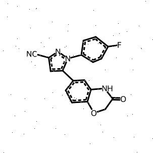 N#Cc1cc(-c2ccc3c(c2)NC(=O)CO3)n(-c2ccc(F)cc2)n1